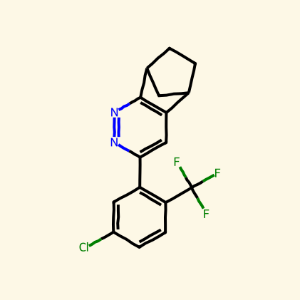 FC(F)(F)c1ccc(Cl)cc1-c1cc2c(nn1)C1CCC2C1